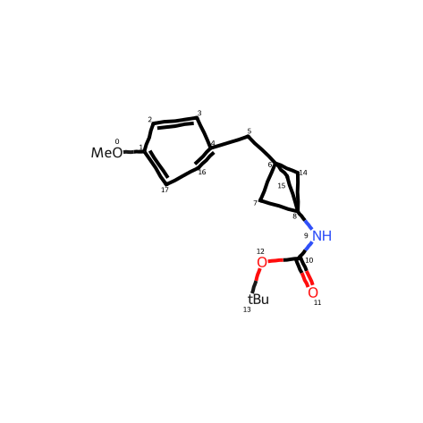 COc1ccc(CC23CC(NC(=O)OC(C)(C)C)(C2)C3)cc1